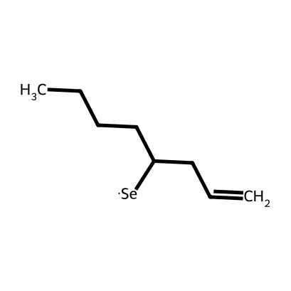 C=CCC([Se])CCCC